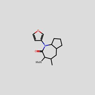 CNC1C(=O)N(c2ccoc2)C2CCCC2CC1C